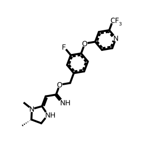 C[C@H]1CN/C(=C\C(=N)OCc2ccc(Oc3ccnc(C(F)(F)F)c3)c(F)c2)N1C